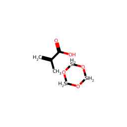 C=C(C)C(=O)O.O1[SiH2]O[SiH2]O[SiH2]1